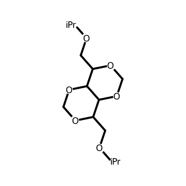 CC(C)OCC1OCOC2C(COC(C)C)OCOC12